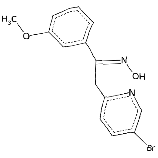 COc1cccc(C(Cc2ccc(Br)cn2)=NO)c1